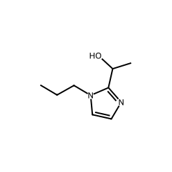 CCCn1ccnc1C(C)O